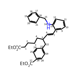 CCOC(=O)CCCCC(/C=C/c1ccccc1NCc1ccccc1)Cc1ccc(C(=O)OCC)cc1